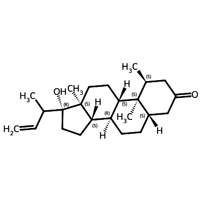 C=CC(C)[C@]1(O)CC[C@H]2[C@@H]3CC[C@H]4CC(=O)C[C@H](C)[C@]4(C)[C@H]3CC[C@@]21C